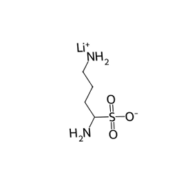 NCCCC(N)S(=O)(=O)[O-].[Li+]